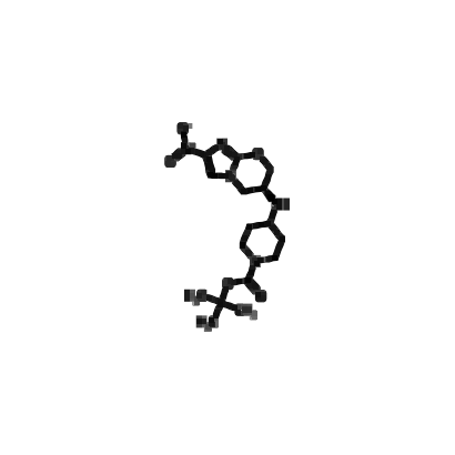 CC(C)(C)OC(=O)N1CCC(N[C@@H]2COc3nc([N+](=O)[O-])cn3C2)CC1